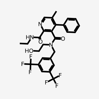 CCNC(=O)c1ncc(C)c(-c2ccccc2)c1C(=O)N(CCO)Cc1cc(C(F)(F)F)cc(C(F)(F)F)c1